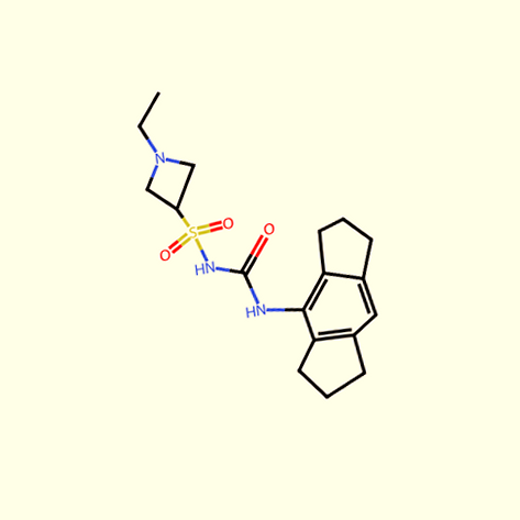 CCN1CC(S(=O)(=O)NC(=O)Nc2c3c(cc4c2CCC4)CCC3)C1